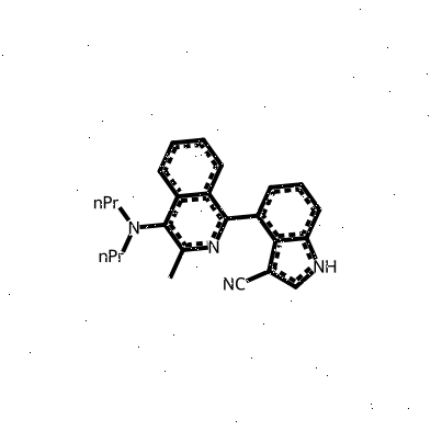 CCCN(CCC)c1c(C)nc(-c2cccc3[nH]cc(C#N)c23)c2ccccc12